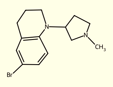 CN1CCC(N2CCCc3cc(Br)ccc32)C1